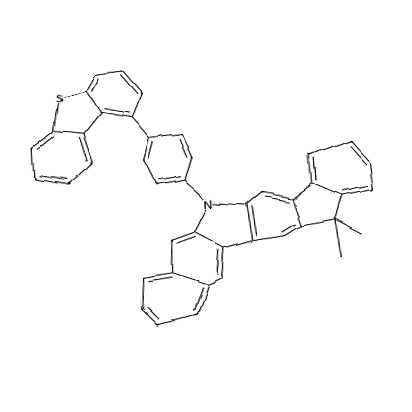 CC1(C)c2ccccc2-c2cc3c(cc21)c1cc2ccccc2cc1n3-c1ccc(-c2cccc3sc4ccccc4c23)cc1